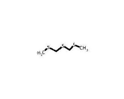 [CH2]SCSCSC